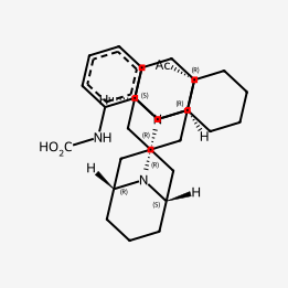 CC(=O)[C@@H]1CCCCC1N(c1ccccc1NC(=O)O)[C@H]1C[C@H]2CCC[C@@H](C1)N2[C@H]1C[C@@H]2CCC[C@@H](C2)C1